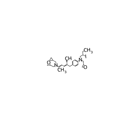 C#C/C(=C\C=C(/C)N(CC1CC1)CC1CO1)Cc1ccc(N(CC(I)CC)CC2CO2)cc1